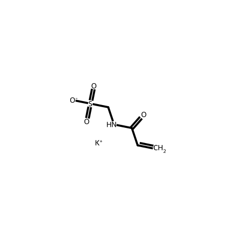 C=CC(=O)NCS(=O)(=O)[O-].[K+]